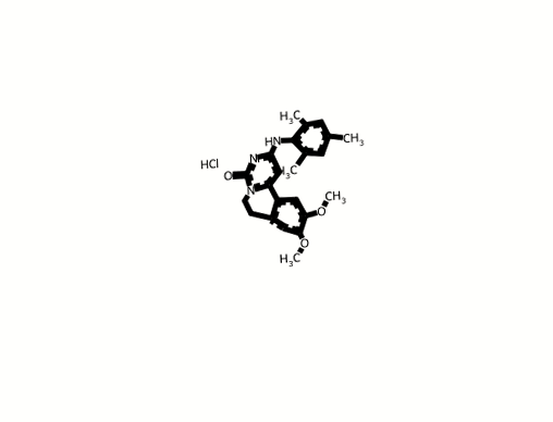 COc1cc2c(cc1OC)-c1cc(Nc3c(C)cc(C)cc3C)nc(=O)n1CC2.Cl